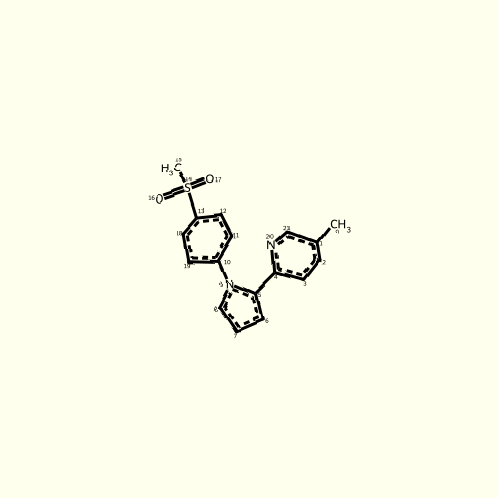 Cc1ccc(-c2cccn2-c2ccc(S(C)(=O)=O)cc2)nc1